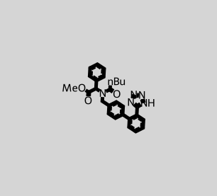 CCCCC(=O)N(Cc1ccc(-c2ccccc2-c2nnn[nH]2)cc1)C(C(=O)OC)c1ccccc1